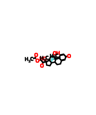 CC(=O)OCC(=O)[C@@]1(O)CCC2C3CCC4=CC(=O)C=C[C@]4(C)[C@@]3(F)[C@@H](O)C[C@@]21C